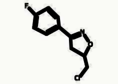 Fc1ccc(C2=NOC(CCl)C2)cc1